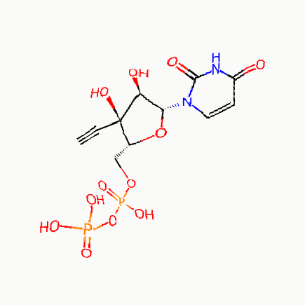 C#C[C@@]1(O)[C@@H](COP(=O)(O)OP(=O)(O)O)O[C@@H](n2ccc(=O)[nH]c2=O)[C@@H]1O